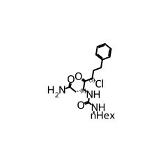 CCCCCCNC(=O)N[C@H](CC(N)=O)C(=O)[C@@H](Cl)CCc1ccccc1